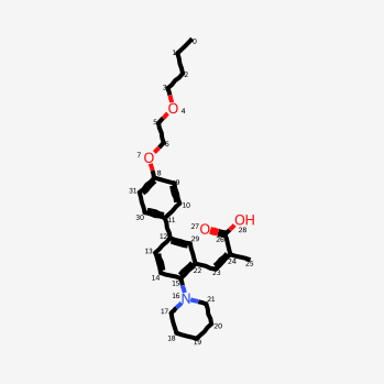 CCCCOCCOc1ccc(-c2ccc(N3CCCCC3)c(C=C(C)C(=O)O)c2)cc1